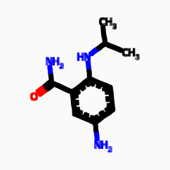 CC(C)Nc1ccc(N)cc1C(N)=O